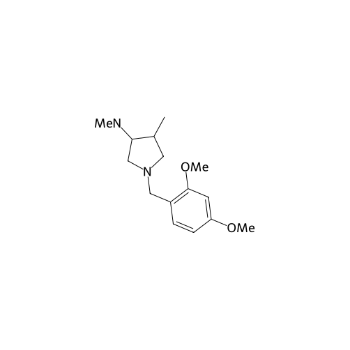 CNC1CN(Cc2ccc(OC)cc2OC)CC1C